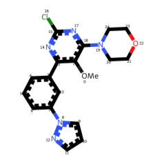 COc1c(-c2cccc(-n3cccn3)c2)nc(Cl)nc1N1CCOCC1